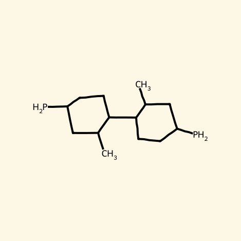 CC1CC(P)CCC1C1CCC(P)CC1C